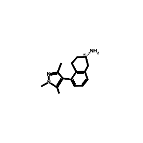 Cc1nn(C)c(C)c1-c1cccc2c1CC[C@H](N)C2